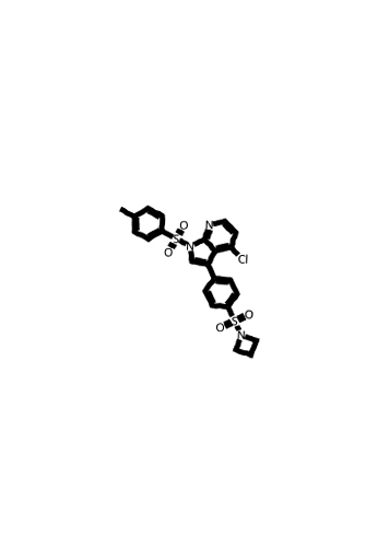 Cc1ccc(S(=O)(=O)n2cc(-c3ccc(S(=O)(=O)N4CCC4)cc3)c3c(Cl)ccnc32)cc1